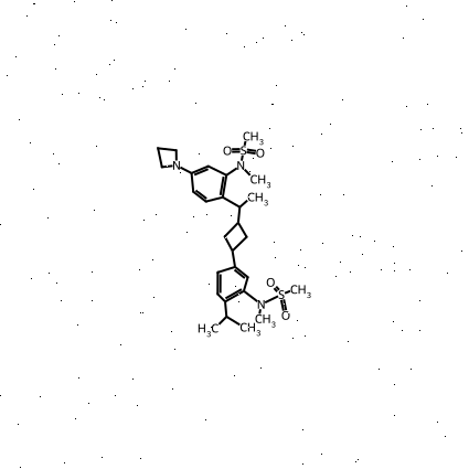 CC(C)c1ccc(C2CC(C(C)c3ccc(N4CCC4)cc3N(C)S(C)(=O)=O)C2)cc1N(C)S(C)(=O)=O